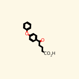 O=C(O)CCCC(=O)c1ccc(Oc2ccccc2)cc1